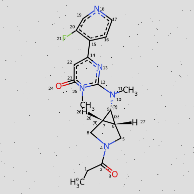 CCC(=O)N1C[C@@H]2[C@H](C1)[C@@H]2N(C)c1nc(-c2ccncc2F)cc(=O)n1C